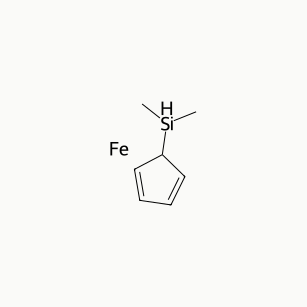 C[SiH](C)C1C=CC=C1.[Fe]